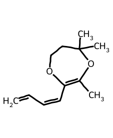 C=C/C=C\C1=C(C)OC(C)(C)CCO1